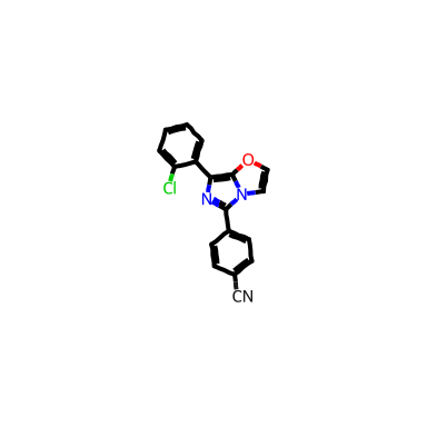 N#Cc1ccc(-c2nc(-c3ccccc3Cl)c3occn23)cc1